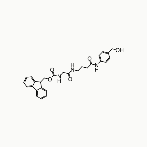 O=C(CNC(=O)OCC1c2ccccc2-c2ccccc21)NCCCC(=O)Nc1ccc(CO)cc1